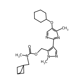 Cc1nc(-c2cnn(C)c2COC(=O)N(C)CC23CC(C2)C3)ncc1OC1CCCCC1